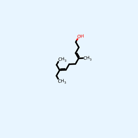 CCC(=CCCC(C)=CCCO)CC